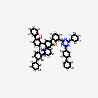 c1ccc(-c2ccc(-c3nc(-c4ccccc4)nc(-c4cccc5c4oc4ccc(-c6c(-n7c8ccccc8c8cc(-c9ccccc9)ccc87)ccc7c6oc6ccccc67)cc45)n3)cc2)cc1